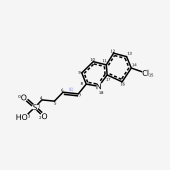 O=S(=O)(O)CC/C=C/c1ccc2ccc(Cl)cc2n1